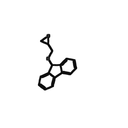 c1ccc2c(c1)-c1ccccc1C2OCC1CO1